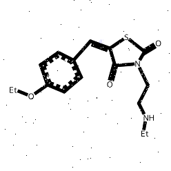 CCNCCN1C(=O)S/C(=C/c2ccc(OCC)cc2)C1=O